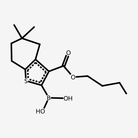 CCCCOC(=O)c1c(B(O)O)sc2c1CC(C)(C)CC2